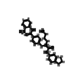 Nc1ccccc1NC(=O)c1ccc(CN(CCCO)C(=O)Nc2ccc3c(c2)CCC3)cc1